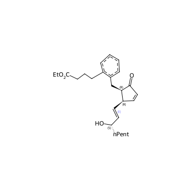 CCCCC[C@H](O)/C=C/[C@@H]1C=CC(=O)[C@@H]1Cc1ccccc1CCCC(=O)OCC